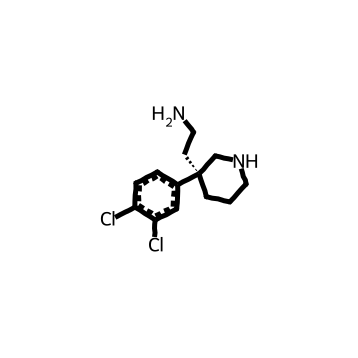 NCC[C@@]1(c2ccc(Cl)c(Cl)c2)CCCNC1